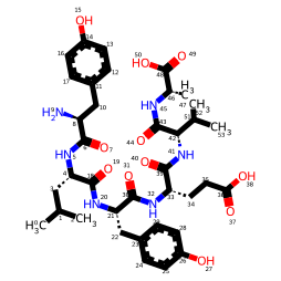 CC(C)C[C@H](NC(=O)[C@@H](N)Cc1ccc(O)cc1)C(=O)N[C@@H](Cc1ccc(O)cc1)C(=O)N[C@@H](CCC(=O)O)C(=O)N[C@H](C(=O)N[C@@H](C)C(=O)O)C(C)C